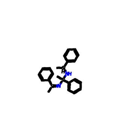 C[Si](=N[Si](C)(N[SiH](C)c1ccccc1)c1ccccc1)c1ccccc1